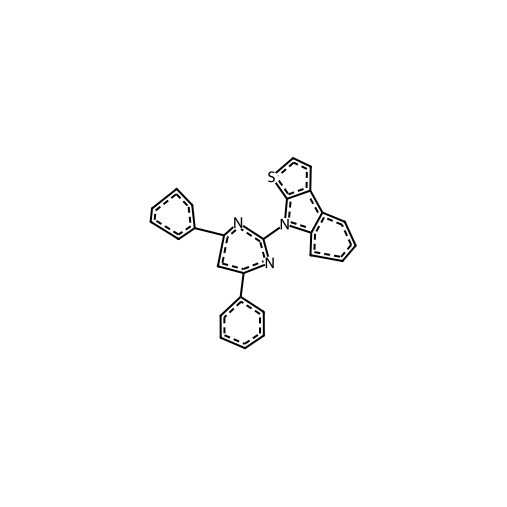 c1ccc(-c2cc(-c3ccccc3)nc(-n3c4ccccc4c4ccsc43)n2)cc1